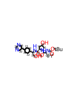 CC(C)[C@H](NC(=O)OC(C)(C)C)C(=O)N1C[C@H](O)C[C@H]1C(=O)N[C@@H](CO)c1ccc(-c2cncnc2)cc1